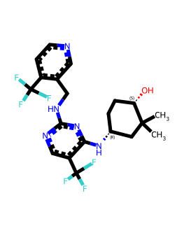 CC1(C)C[C@H](Nc2nc(NCc3cnccc3C(F)(F)F)ncc2C(F)(F)F)CC[C@@H]1O